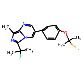 Cc1nc(C(C)(C)F)n2cc(-c3ccc(OC(C)(C)P)cc3)cnc12